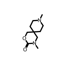 CN1CCC2(CC1)COC(=O)N(C)C2